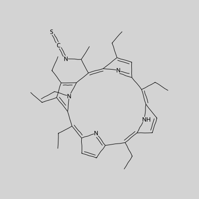 CCC1=Cc2nc1c(C(C)N=C=S)c1c(CC)c(CC)c(c(CC)c3nc(c(CC)c4ccc([nH]4)c2CC)C=C3)n1CC